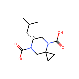 CC(C)C[C@@H]1CN(C(=O)O)C2(CC2)CN1C(=O)O